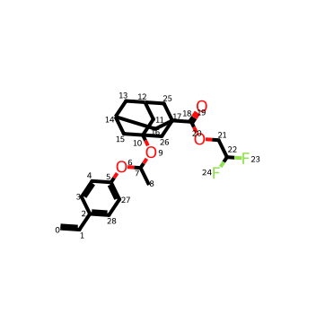 C=Cc1ccc(OC(C)OC23CC4CC(C2)CC(C(=O)OCC(F)F)(C4)C3)cc1